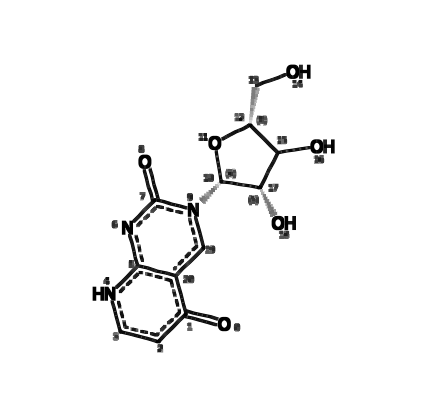 O=c1cc[nH]c2nc(=O)n([C@@H]3O[C@H](CO)C(O)[C@@H]3O)cc12